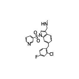 CNCc1cn(S(=O)(=O)c2cccnc2)c2cc(Cc3ccc(F)cc3Cl)ccc12